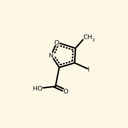 Cc1onc(C(=O)O)c1I